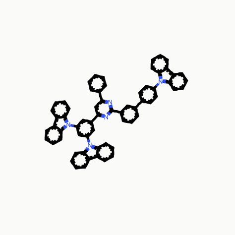 c1ccc(-c2cc(-c3cc(-n4c5ccccc5c5ccccc54)cc(-n4c5ccccc5c5ccccc54)c3)nc(-c3cccc(-c4ccc(-n5c6ccccc6c6ccccc65)cc4)c3)n2)cc1